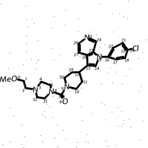 COCCN1CCN(C(=O)N2CCC(c3cn(-c4ccc(Cl)cc4)c4cnccc34)CC2)CC1